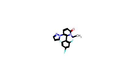 CCn1c(-c2c(F)cc(F)cc2F)c(-n2cccn2)ccc1=O